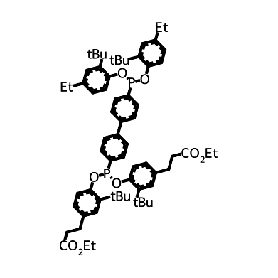 CCOC(=O)CCc1ccc(OP(Oc2ccc(CCC(=O)OCC)cc2C(C)(C)C)c2ccc(-c3ccc(P(Oc4ccc(CC)cc4C(C)(C)C)Oc4ccc(CC)cc4C(C)(C)C)cc3)cc2)c(C(C)(C)C)c1